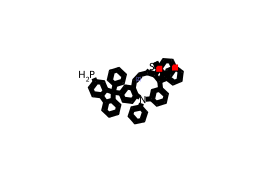 C=CC1=C2/C=C\c3cc(C4(c5ccccc5)c5ccccc5-c5ccc(P)cc54)ccc3N(c3ccccc3)c3cccc(c3)C1(c1ccccc1)c1ccccc1S2